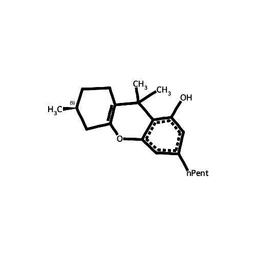 CCCCCc1cc(O)c2c(c1)OC1=C(CC[C@H](C)C1)C2(C)C